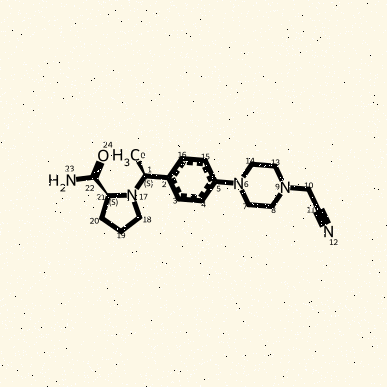 C[C@@H](c1ccc(N2CCN(CC#N)CC2)cc1)N1CCC[C@H]1C(N)=O